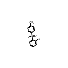 Cc1ccc(S(=O)(=O)c2ccccc2Br)cc1